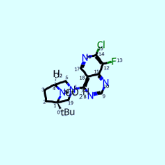 CC(C)(C)[C@]12CC[C@@H](CN(c3ncnc4c(F)c(Cl)ncc34)C1)N2C(=O)O